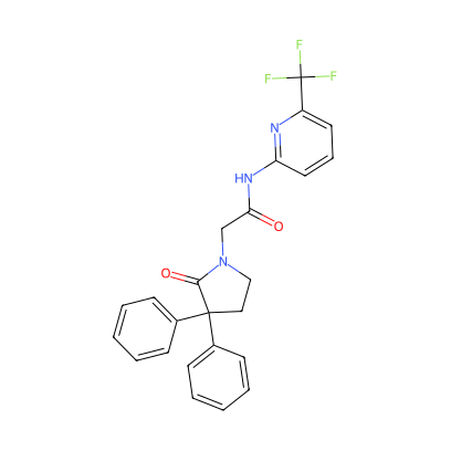 O=C(CN1CCC(c2ccccc2)(c2ccccc2)C1=O)Nc1cccc(C(F)(F)F)n1